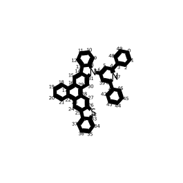 c1ccc(-c2cc(-n3c4ccccc4c4cc5c6ccccc6c6cc7c(cc6c5cc43)sc3ccccc37)cc(-c3ccccc3)n2)cc1